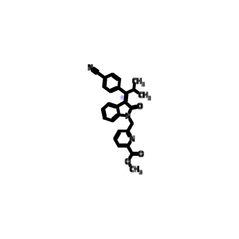 COC(=O)c1cccc(CN2C(=O)/C(=C(/c3ccc(C#N)cc3)C(C)C)c3ccccc32)n1